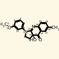 COc1cccc(N2CC[C@@]3(O)C(=O)c4cc(C)ccc4N=C23)c1